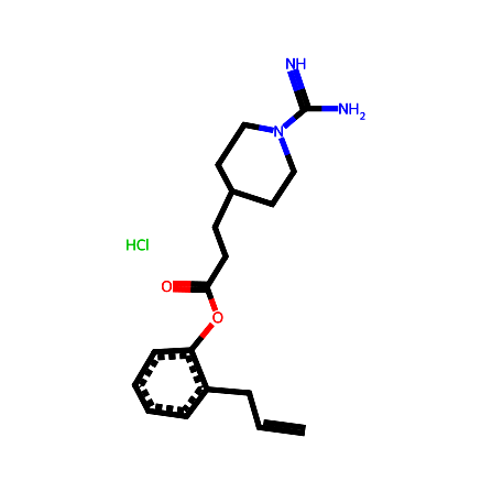 C=CCc1ccccc1OC(=O)CCC1CCN(C(=N)N)CC1.Cl